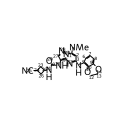 CNc1cc(Nc2cccc3c2OCCO3)nc2c(NC(=O)NC3CC(C#N)C3)cnn12